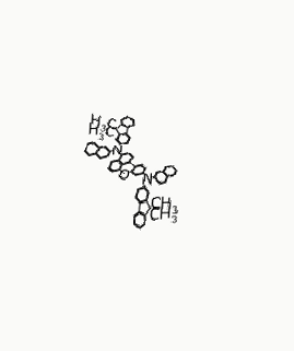 CC1(C)c2ccccc2-c2ccc(N(c3ccc4c(c3)Oc3cccc5c(N(c6ccc7c(c6)C(C)(C)c6ccccc6-7)c6ccc7ccccc7c6)ccc-4c35)c3ccc4ccccc4c3)cc21